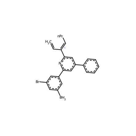 Bc1cc(Br)cc(-c2cc(-c3ccccc3)cc(/C(C=C)=C/CCC)n2)c1